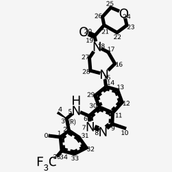 Cc1c([C@@H](C)Nc2nnc(C)c3ccc(N4CCN(C(=O)C5CCOCC5)CC4)cc23)cccc1C(F)(F)F